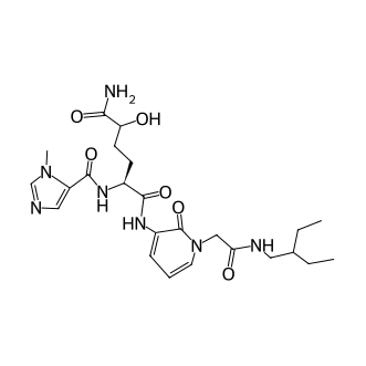 CCC(CC)CNC(=O)Cn1cccc(NC(=O)[C@H](CCC(O)C(N)=O)NC(=O)c2cncn2C)c1=O